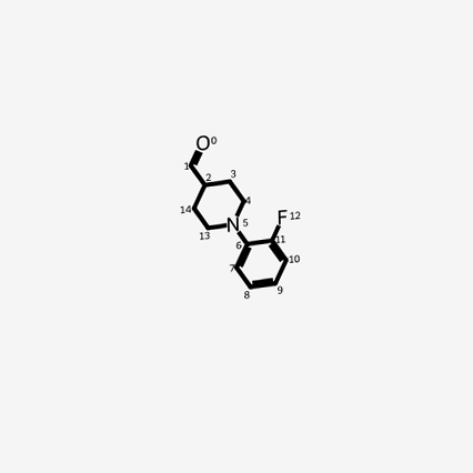 O=CC1CCN(c2ccccc2F)CC1